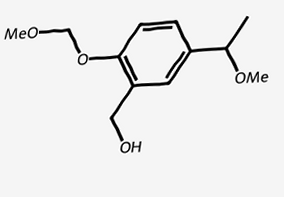 COCOc1ccc(C(C)OC)cc1CO